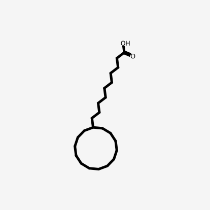 O=C(O)CCCCCCCCCC1CCCCCCCCCCCCC1